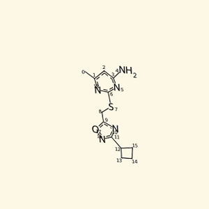 Cc1cc(N)nc(SCc2nc(C3CCC3)no2)n1